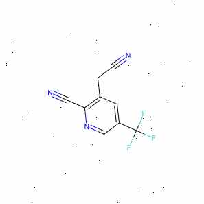 N#CCc1cc(C(F)(F)F)cnc1C#N